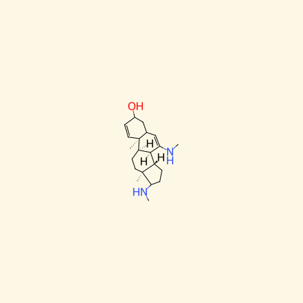 CNC1=CC2CC(O)C=C[C@]2(C)[C@@H]2CC[C@]3(C)C(NC)CC[C@H]3[C@H]12